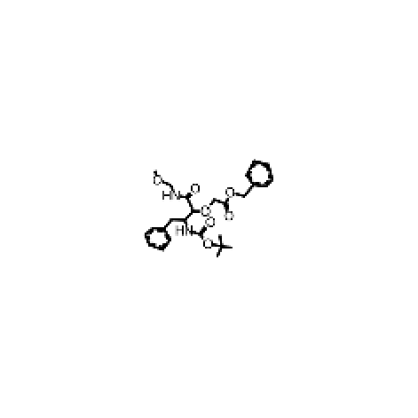 COCNC(=O)C(OCC(=O)OCc1ccccc1)C(Cc1ccccc1)NC(=O)OC(C)(C)C